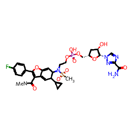 CNC(=O)c1c(-c2ccc(F)cc2)oc2c1=CC(C1CC1)C(N(CCOP(=O)(O)OC[C@@H]1C[C@@H](O)[C@H](n3cnc(C(N)=O)n3)O1)S(C)(=O)=O)C=2